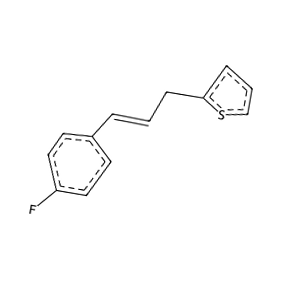 Fc1ccc(/C=C/Cc2cccs2)cc1